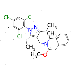 CCc1nn(-c2c(Cl)cc(Cl)cc2Cl)c(CC)c1CN1C(OC)Cc2ccccc2C1C